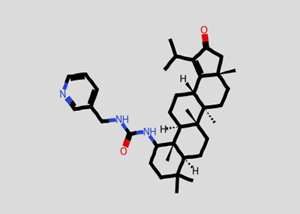 CC(C)C1=C2[C@H]3CC[C@@H]4[C@@]5(C)C(NC(=O)NCc6cccnc6)CCC(C)(C)[C@@H]5CC[C@@]4(C)[C@]3(C)CC[C@@]2(C)CC1=O